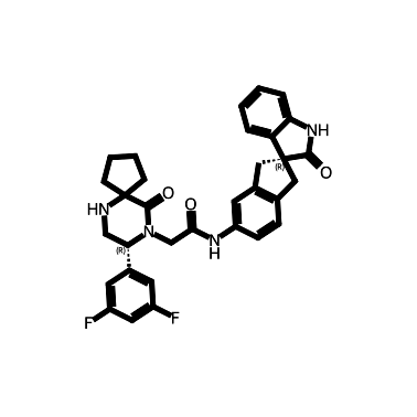 O=C(CN1C(=O)C2(CCCC2)NC[C@H]1c1cc(F)cc(F)c1)Nc1ccc2c(c1)C[C@@]1(C2)C(=O)Nc2ccccc21